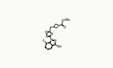 CC(C)c1nn(-c2noc(CC3CN(C(=O)OC(C)(C)C)C3)n2)c2c(F)cccc12